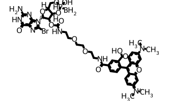 B[PH]1(O)OC[C@H]2O[C@@H](n3c(Br)nc4c(=O)[nH]c(N)nc43)C(OC(=O)NCCOCCOCCNC(=O)c3ccc(-c4c5ccc(=[N+](C)C)cc-5oc5cc(N(C)C)ccc45)c(C(=O)O)c3)[C@@H]2O1